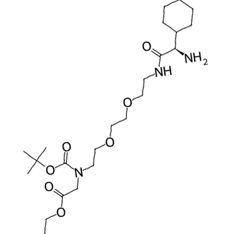 CCOC(=O)CN(CCOCCOCCNC(=O)[C@H](N)C1CCCCC1)C(=O)OC(C)(C)C